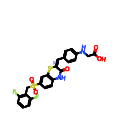 O=C(O)CNc1ccc(/C=C2/Sc3cc(S(=O)(=O)Cc4c(F)cccc4F)ccc3NC2=O)cc1